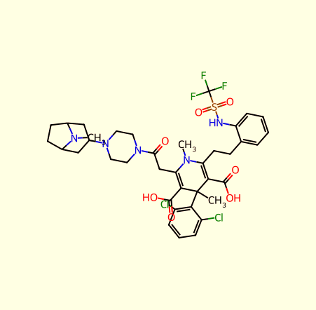 CN1C(CCc2ccccc2NS(=O)(=O)C(F)(F)F)=C(C(=O)O)C(C)(c2c(Cl)cccc2Cl)C(C(=O)O)=C1CC(=O)N1CCN(C2CC3CCC(C2)N3C)CC1